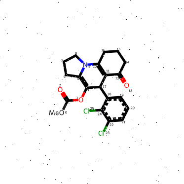 COC(=O)OC1=C2CCCN2C2=C(C(=O)CCC2)C1c1cccc(Cl)c1Cl